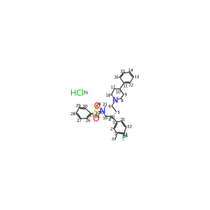 Cc1cc([C@@H](CCN2CCC(c3ccccc3)CC2)CN(C)S(=O)(=O)c2ccccc2)ccc1F.Cl